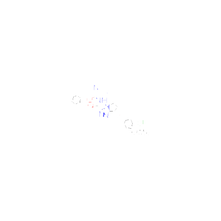 COc1ccc(COc2cccn3c([C@@H](COCc4ccccc4)NC(=O)C(C)(C)N)nnc23)cc1Cl